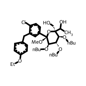 CCCCO[C@@H]1[C@@H](OCCCC)[C@](OC)(c2ccc(Cl)c(Cc3ccc(OCC)cc3)c2)O[C@@](CO)(C(C)O)[C@H]1OCCCC